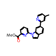 COC(=O)c1cccc(-n2ccc3ccc(-c4cc(C)ccn4)cc32)n1